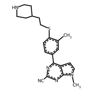 Cc1cc(-c2nc(C#N)nc3c2ccn3C)ccc1SCCC1CCNCC1